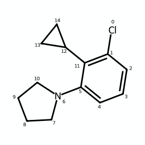 Clc1cccc(N2CCCC2)c1C1CC1